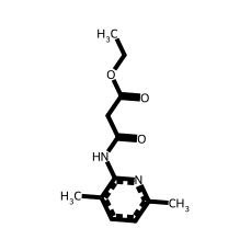 CCOC(=O)CC(=O)Nc1nc(C)ccc1C